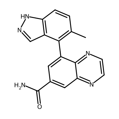 Cc1ccc2[nH]ncc2c1-c1cc(C(N)=O)cc2nccnc12